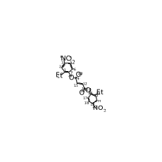 CCc1cc([N+](=O)[O-])ccc1OC(=O)/C=C/C(=O)Oc1ccc([N+](=O)[O-])cc1CC